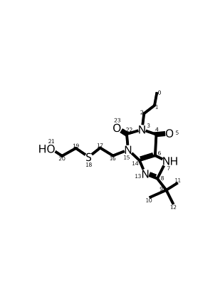 CCCn1c(=O)c2[nH]c(C(C)(C)C)nc2n(CCSCCO)c1=O